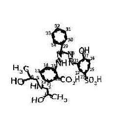 CC(O)CNCC(C)O.O=C(O)c1ccccc1NN=C(N=Nc1cc(S(=O)(=O)O)ccc1O)c1ccccc1